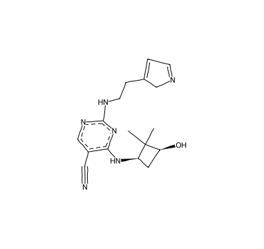 CC1(C)[C@@H](O)C[C@H]1Nc1nc(NCCC2=CC=NC2)ncc1C#N